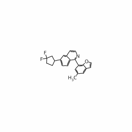 Cc1cc(-c2nccc3cc(C4CCC(F)(F)C4)ccc23)c2occc2c1